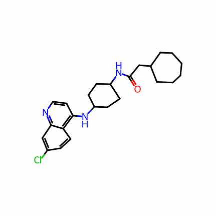 O=C(CC1CCCCCC1)NC1CCC(Nc2ccnc3cc(Cl)ccc23)CC1